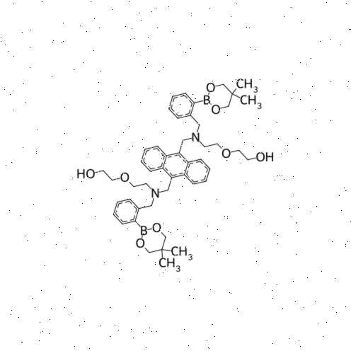 CC1(C)COB(c2ccccc2CN(CCOCCO)Cc2c3ccccc3c(CN(CCOCCO)Cc3ccccc3B3OCC(C)(C)CO3)c3ccccc23)OC1